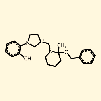 Cc1ccccc1N1CC[C@@H](CN2CCCCC2(C)OCc2ccccc2)C1